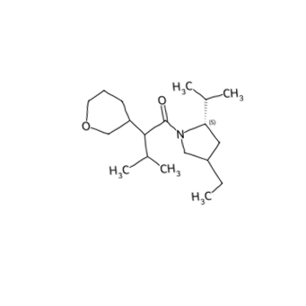 CCC1C[C@@H](C(C)C)N(C(=O)C(C(C)C)C2CCCOC2)C1